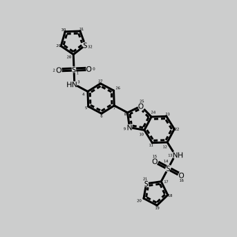 O=S(=O)(Nc1ccc(-c2nc3cc(NS(=O)(=O)c4cccs4)ccc3o2)cc1)c1cccs1